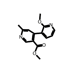 COC(=O)c1cnc(C)cc1-c1cccnc1OC